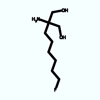 NC(CO)(CO)CCCCCCF